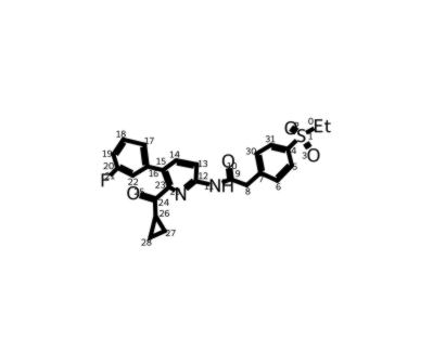 CCS(=O)(=O)c1ccc(CC(=O)Nc2ccc(-c3cccc(F)c3)c(C(=O)C3CC3)n2)cc1